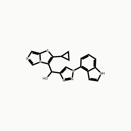 OC(c1cn(-c2cccc3[nH]ccc23)nn1)c1c(C2CC2)sc2cncn12